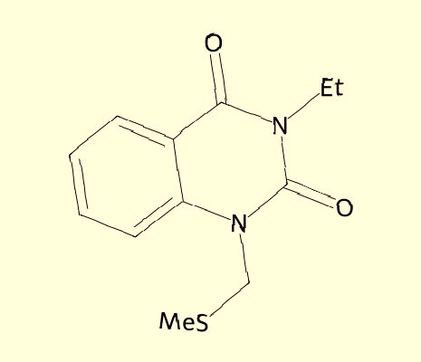 CCn1c(=O)c2ccccc2n(CSC)c1=O